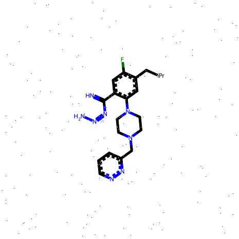 CC(C)Cc1cc(N2CCN(Cc3cccnn3)CC2)c(C(=N)/N=N\N)cc1F